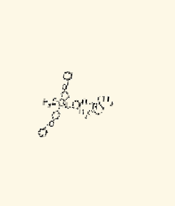 Cc1c(-c2ccc(OCc3ccccc3)cc2)n(Cc2ccc(OCCN3[C@H](C)CCC[C@@H]3C)cc2)c2ccc(OCc3ccccc3)cc12